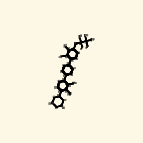 Fc1c(OC(F)(F)C(F)(F)F)ccc(-c2ccc(-c3ccc(C4COCOC4)c(F)c3F)cc2)c1F